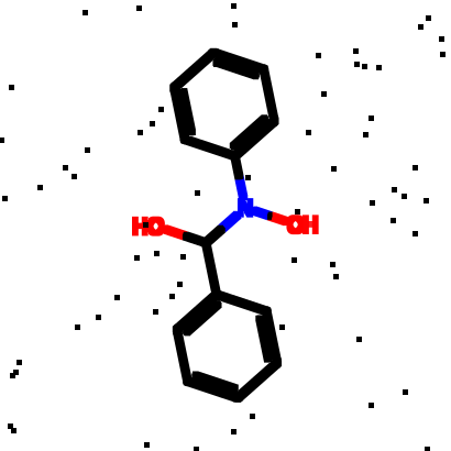 OC(c1ccccc1)N(O)c1ccccc1